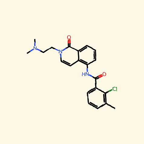 Cc1cccc(C(=O)Nc2cccc3c(=O)n(CCN(C)C)ccc23)c1Cl